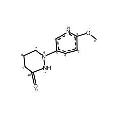 COc1ccc(N2CCCC(=O)N2)cn1